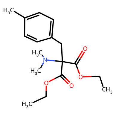 CCOC(=O)C(Cc1ccc(C)cc1)(C(=O)OCC)N(C)C